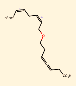 CCCCC/C=C\C/C=C\COCCC=C=CCC(=O)O